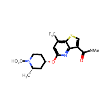 CNC(=O)c1csc2c(C(F)(F)F)cc(O[C@H]3CCN(C(=O)O)[C@@H](C)C3)nc12